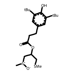 CSCC(C[S+](C)[O-])OC(=O)CCc1cc(C(C)(C)C)c(O)c(C(C)(C)C)c1